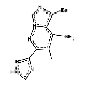 CCC(C)c1ncn2nc(-c3nc[nH]n3)c(C)c(N)c12